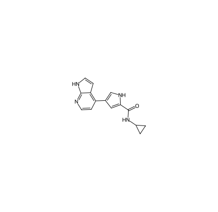 O=C(NC1CC1)c1cc(-c2ccnc3[nH]ccc23)c[nH]1